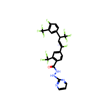 O=C(NNc1ncccn1)c1ccc(/C(F)=C/C(c2ccc(F)c(C(F)(F)F)c2)C(F)(F)F)cc1C(F)(F)F